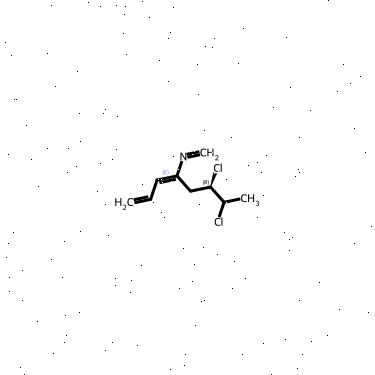 C=C/C=C(\C[C@@H](Cl)C(C)Cl)N=C